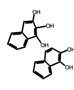 Oc1cc2ccccc2c(O)c1O.Oc1ccc2ccccc2c1O